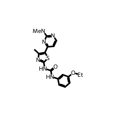 CCOc1cccc(NC(=O)Nc2nc(C)c(-c3ccnc(NC)n3)s2)c1